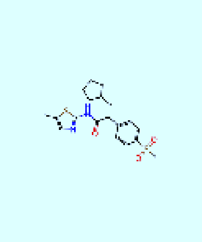 Cc1cnc(NC(=O)[C@H](CC2CCCC2)c2ccc(S(C)(=O)=O)cc2)s1